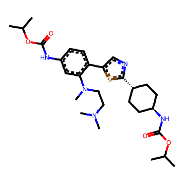 CC(C)OC(=O)Nc1ccc(-c2cnc([C@H]3CC[C@H](NC(=O)OC(C)C)CC3)s2)c(N(C)CCN(C)C)c1